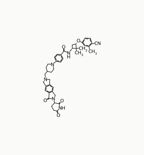 Cc1cc(O[C@H]2C[C@H](NC(=O)c3ccc(N4CCC(CN5Cc6cc7c(cc6C5)C(=O)N(C5CCC(=O)NC5=O)C7)CC4)cc3)C2(C)C)ccc1C#N